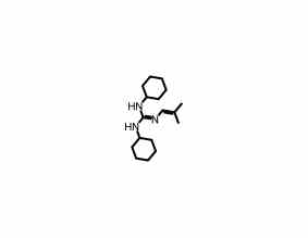 CC(C)=CN=C(NC1CCCCC1)NC1CCCCC1